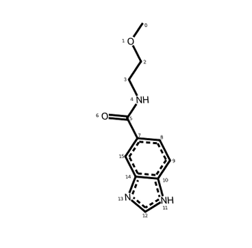 COCCNC(=O)c1ccc2[nH]cnc2c1